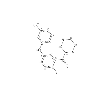 Cc1ccc(Oc2cccc(Cl)c2)cc1C(=O)C1CCCCC1